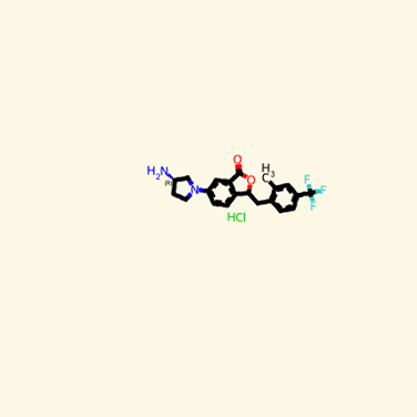 Cc1cc(C(F)(F)F)ccc1CC1OC(=O)c2cc(N3CC[C@@H](N)C3)ccc21.Cl